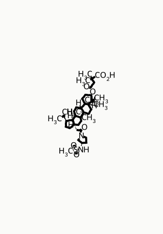 C=C(C)[C@@H]1CC[C@]2(CC(=O)N3CC[C@H](NS(C)(=O)=O)C3)CC[C@]3(C)[C@H](CC[C@@H]4[C@@]5(C)CC[C@H](OC(=O)CC(C)(C)C(=O)O)C(C)(C)[C@@H]5CC[C@]43C)[C@@H]12